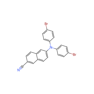 N#Cc1ccc2cc(N(c3ccc(Br)cc3)c3ccc(Br)cc3)ccc2c1